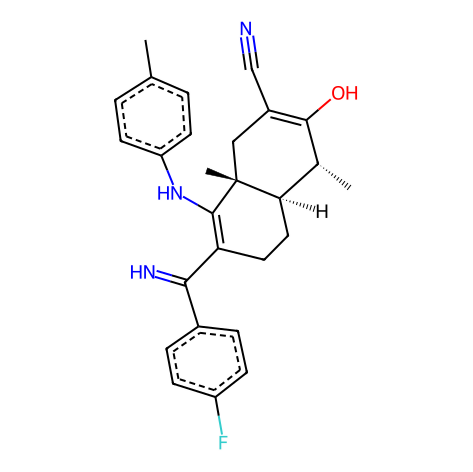 Cc1ccc(NC2=C(C(=N)c3ccc(F)cc3)CC[C@@H]3[C@@H](C)C(O)=C(C#N)C[C@@]23C)cc1